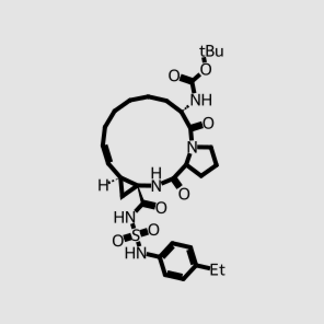 CCc1ccc(NS(=O)(=O)NC(=O)[C@@]23C[C@H]2/C=C\CCCCC[C@H](NC(=O)OC(C)(C)C)C(=O)N2CCCC2C(=O)N3)cc1